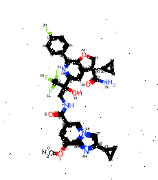 COc1cc(C(=O)NCC(O)(c2cc3c(c(-c4ccc(F)cc4)n2)OC[C@@]3(C(N)=O)C2CC2)C(F)(F)F)cn2cc(C3CC3)nc12